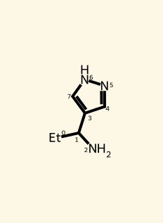 CCC(N)c1cn[nH]c1